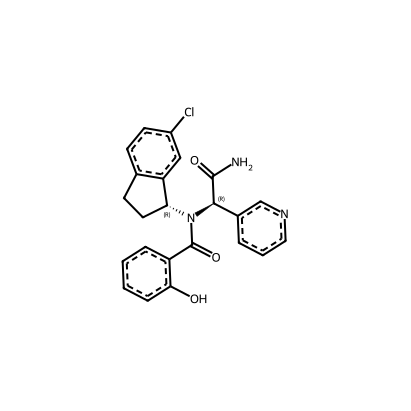 NC(=O)[C@@H](c1cccnc1)N(C(=O)c1ccccc1O)[C@@H]1CCc2ccc(Cl)cc21